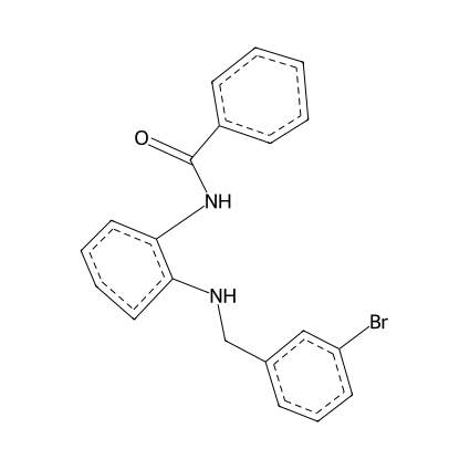 O=C(Nc1ccccc1NCc1cccc(Br)c1)c1ccccc1